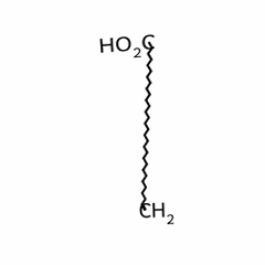 C=CCCCCCCCCCCCCCCCCCCCCCCCCCCCC(=O)O